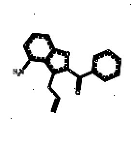 C=CCc1c(C(=O)c2ccccc2)oc2cccc(N)c12